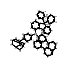 c1ccc(-c2cccc3cccc(-c4ccc(N(c5ccc(C67CC8CC(CC(C8)C6)C7)cc5)c5cccc6c5-c5ccccc5C6(c5ccccc5)c5ccccc5)cc4)c23)cc1